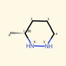 C[C@@H]1CCCNN1